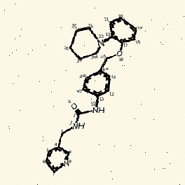 O=C(NCc1cccnc1)Nc1ccc(COc2ccccc2N2CCCCC2)cc1